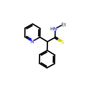 CCNC(=S)C(c1ccccc1)c1ccccn1